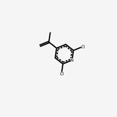 C=C(C)c1cc(Cl)nc(Cl)c1